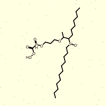 CCCCCCCCCCCC[S+]([O-])C(CCCCCCC)C(C)OCCCO[PH](=O)C(=O)OO